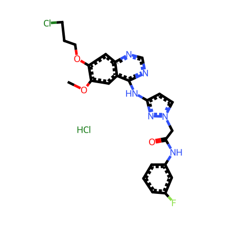 COc1cc2c(Nc3ccn(CC(=O)Nc4cccc(F)c4)n3)ncnc2cc1OCCCCl.Cl